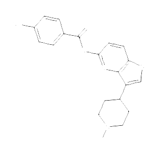 CN1CCC(c2c[nH]c3ccc(NC(=O)c4ccc(C#N)cc4)nc23)CC1